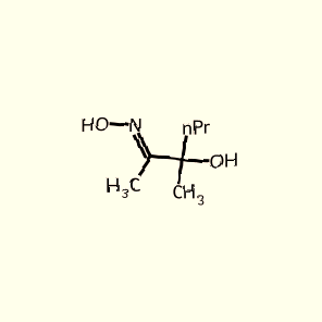 CCCC(C)(O)C(C)=NO